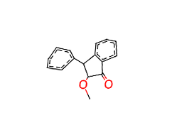 COC1C(=O)c2ccccc2C1c1ccccc1